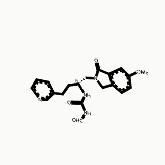 COc1ccc2c(c1)C(=O)N(C[C@@H](CCc1cccnc1)NC(=O)NC=O)C2